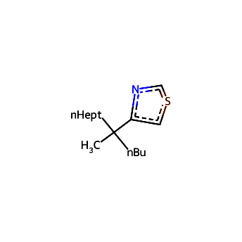 CCCCCCCC(C)(CCCC)c1cscn1